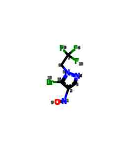 O=Nc1cnn(CC(F)(F)F)c1Br